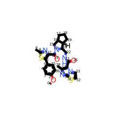 COc1ccc(-c2sc(C)nc2C(=O)N2CC3CCC[C@@H]3C2CNC(=O)c2c(C)nc3sccn23)cc1